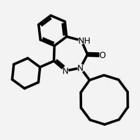 O=C1Nc2ccccc2C(C2CCCCC2)=NN1C1CCCCCCCCC1